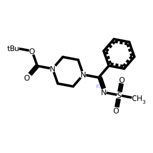 CC(C)(C)OC(=O)N1CCN(/C(=N/S(C)(=O)=O)c2ccccc2)CC1